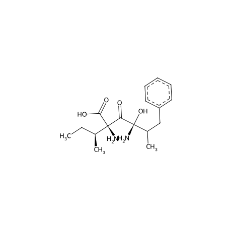 CC[C@H](C)[C@](N)(C(=O)O)C(=O)[C@](N)(O)C(C)Cc1ccccc1